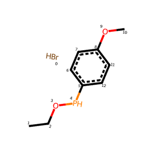 Br.CCOPc1ccc(OC)cc1